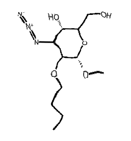 CCCCOC1C(N=[N+]=[N-])[C@H](O)C(CO)O[C@@H]1OC